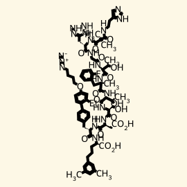 CCc1cc(OCCCCN=[N+]=[N-])ccc1-c1ccc(C[C@H](NC(=O)[C@H](CC(=O)O)NC(=O)[C@H](CO)NC(=O)[C@@H](NC(=O)[C@](C)(Cc2ccccc2F)NC(=O)[C@@H](NC(=O)CNC(=O)[C@H](C/C(N=N)=N/N)NC(=O)C(C)(C)C(=O)NCCc2cnc[nH]2)[C@@H](C)O)[C@@H](C)O)C(=O)N[C@@H](CCCc2cc(C)cc(C)c2)C(=O)O)cc1